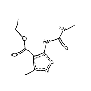 CCOC(=O)c1c(C)noc1NC(=O)NC